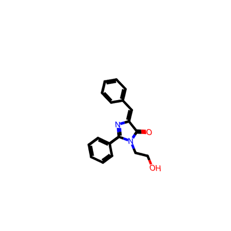 O=C1C(=Cc2ccccc2)N=C(c2ccccc2)N1CCO